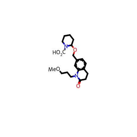 COCCCN1C(=O)CCc2ccc(COC3CCCCN3C(=O)O)cc21